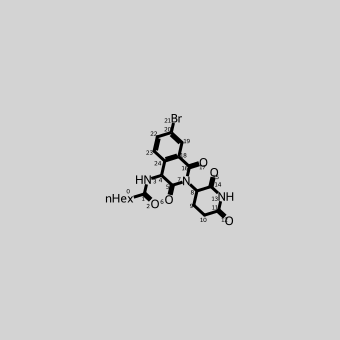 CCCCCCC(=O)NC1C(=O)N(C2CCC(=O)NC2=O)C(=O)c2cc(Br)ccc21